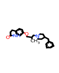 CC(COc1ccc2c(c1)NC(=O)CC2)CN1CCC(Cc2ccccc2)CC1